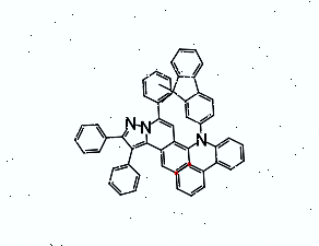 CC1(C)c2ccccc2-c2ccc(N(c3ccccc3-c3ccccc3)c3cccc4c3cc(-c3ccccc3)n3nc(-c5ccccc5)c(-c5ccccc5)c43)cc21